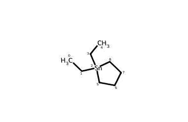 C[CH2][Sn]1([CH2]C)[CH2]CC[CH2]1